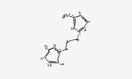 CC(C)c1cccc(CCCc2cc[c]cc2)c1